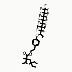 CCC(C)(CC)CC(C)(C(=O)OCCc1ccc(OC(F)C(F)(F)C(F)(F)C(F)(F)C(F)(F)C(F)(F)C(F)(F)C(F)(F)F)cc1)C(C)C